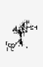 COC(=O)c1c(C)c2c(-c3c(CSCc4cc(CCc5cc(O)c6ccc(F)cc6c5)n(C)n4)nn(C4CCCCO4)c3C)c(Cl)ccc2n1CCCO